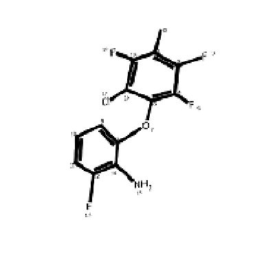 Cc1c(F)c(F)c(Oc2cccc(F)c2N)c(Cl)c1F